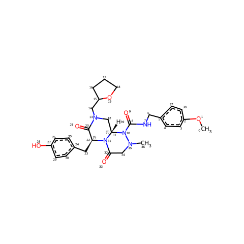 COc1ccc(CNC(=O)N2[C@H]3CN(CC4CCCO4)C(=O)[C@H](Cc4ccc(O)cc4)N3C(=O)CN2C)cc1